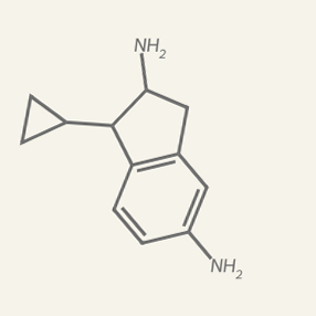 Nc1ccc2c(c1)CC(N)C2C1CC1